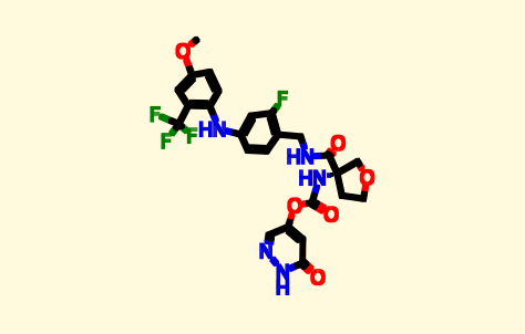 COc1ccc(Nc2ccc(CNC(=O)[C@]3(NC(=O)Oc4cn[nH]c(=O)c4)CCOC3)c(F)c2)c(C(F)(F)F)c1